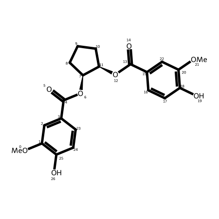 COc1cc(C(=O)O[C@H]2CCC[C@H]2OC(=O)c2ccc(O)c(OC)c2)ccc1O